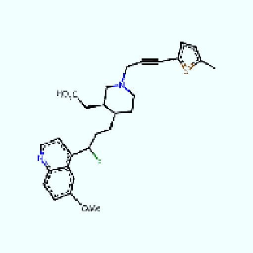 COc1ccc2nccc(C(F)CC[C@@H]3CCN(CC#Cc4ccc(C)s4)C[C@@H]3CC(=O)O)c2c1